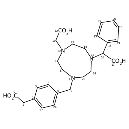 O=C(O)Cc1ccc(CN2CCN(CC(=O)O)CCN(C(C(=O)O)c3ccccc3)CC2)cc1